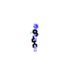 Fc1cc(-n2cnnn2)cc2ccn(Cc3ccc(C4CCNCC4)cn3)c12